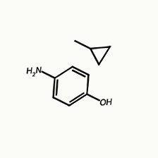 CC1CC1.Nc1ccc(O)cc1